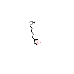 CCCCCCc1c[c]oc1